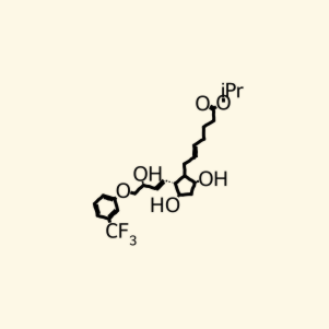 CC(C)OC(=O)CCC/C=C/CC1[C@@H](/C=C/[C@@H](O)COc2cccc(C(F)(F)F)c2)[C@H](O)C[C@@H]1O